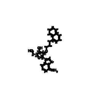 Nc1ncnc2c1ncn2[C@@H]1O[C@H](CO)[C@@H](O)[C@H]1OCCCc1cccc2ccccc12